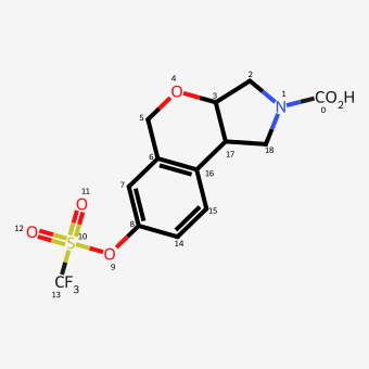 O=C(O)N1CC2OCc3cc(OS(=O)(=O)C(F)(F)F)ccc3C2C1